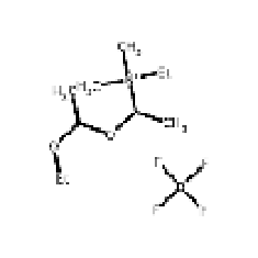 CCOC(C)OC(C)[N+](C)(C)CC.F[B-](F)(F)F